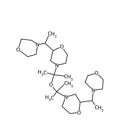 CC(C1CN(C(C)(C)OC(C)(C)N2CCOC(C(C)N3CCOCC3)C2)CCO1)N1CCOCC1